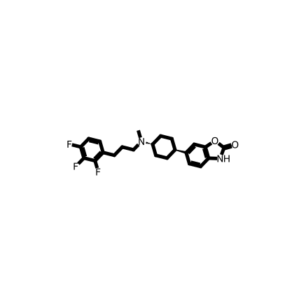 CN(CCCc1ccc(F)c(F)c1F)[C@H]1CC[C@H](c2ccc3[nH]c(=O)oc3c2)CC1